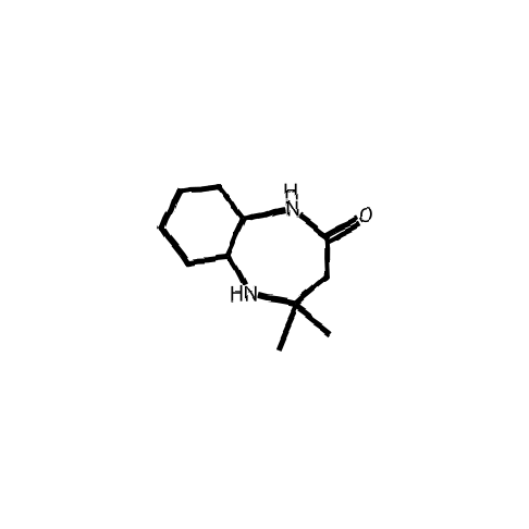 CC1(C)CC(=O)NC2CCCCC2N1